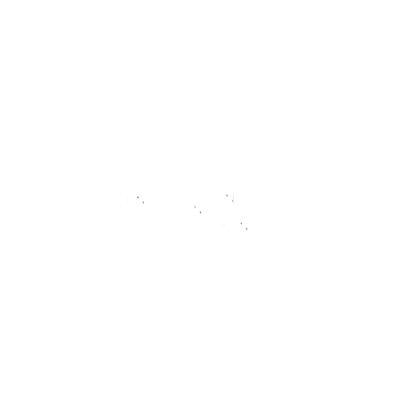 CNC1CCN(c2nc(C(F)F)no2)CC1